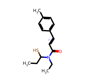 CCC(S)N(CC)C(=O)/C=C/c1ccc(C)cc1